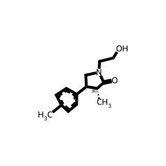 Cc1ccc(C2CN(CCO)C(=O)[C@@H]2C)cc1